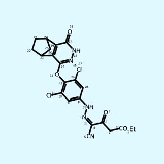 CCOC(=O)CC(=O)/C(C#N)=N\Nc1cc(Cl)c(Oc2n[nH]c(=O)c3c2C2CCC3C2)c(Cl)c1